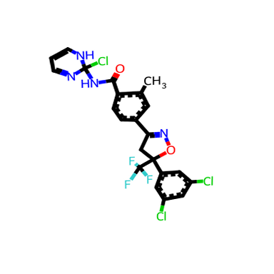 Cc1cc(C2=NOC(c3cc(Cl)cc(Cl)c3)(C(F)(F)F)C2)ccc1C(=O)NC1(Cl)N=CC=CN1